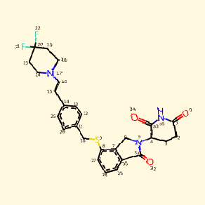 O=C1CCC(N2Cc3c(SCc4ccc(CCN5CCC(F)(F)CC5)cc4)cccc3C2=O)C(=O)N1